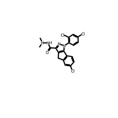 CN(C)NC(=O)c1nn(-c2ccc(Cl)cc2Cl)c2c1Cc1cc(Cl)ccc1-2